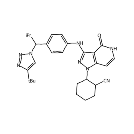 CC(C)C(c1ccc(Nc2nn(C3CCCCC3C#N)c3cc[nH]c(=O)c23)cc1)n1cc(C(C)(C)C)nn1